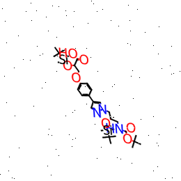 CC(C)(C)OC(=O)NCC(Cn1cc(-c2ccc(OCC(O[Si](C)(C)C(C)(C)C)C(=O)O)cc2)cn1)O[Si](C)(C)C(C)(C)C